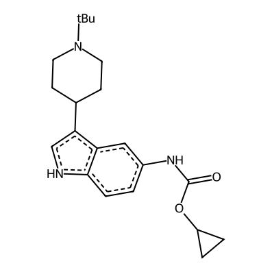 CC(C)(C)N1CCC(c2c[nH]c3ccc(NC(=O)OC4CC4)cc23)CC1